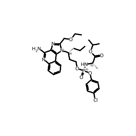 CCC[C@H](CCO[P@@](=O)(N[C@@H](C)C(=O)OC(C)C)Oc1ccc(Cl)cc1)n1c(COCC)nc2c(N)nc3ccccc3c21